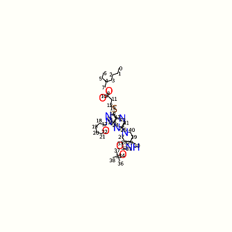 CCCCC(CC)COC(=O)CCSc1nn(C2CCCCO2)c2nc(N3CCC(C)(NC(=O)OC(C)(C)C)CC3)cnc12